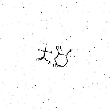 CC(C)N1CCNCC1C.O=C(O)C(F)(F)F